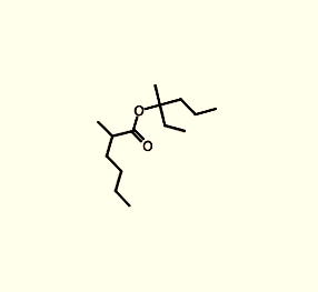 CCCCC(C)C(=O)OC(C)(CC)CCC